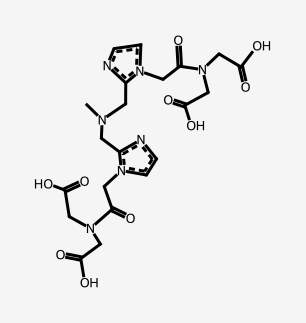 CN(Cc1nccn1CC(=O)N(CC(=O)O)CC(=O)O)Cc1nccn1CC(=O)N(CC(=O)O)CC(=O)O